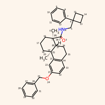 C[C@@]1(C(=O)NCC2(c3ccccc3)CCC2)CCC[C@]2(C)c3cc(OCc4ccccc4)ccc3CC[C@@H]12